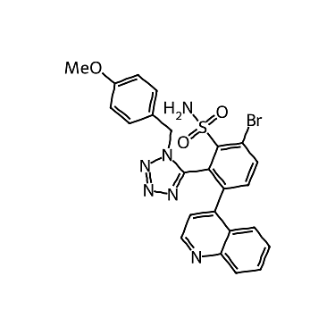 COc1ccc(Cn2nnnc2-c2c(-c3ccnc4ccccc34)ccc(Br)c2S(N)(=O)=O)cc1